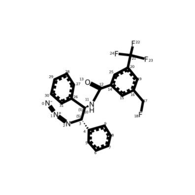 [N-]=[N+]=N[C@@H](c1ccccc1)[C@@H](NC(=O)c1cc(CF)cc(C(F)(F)F)c1)c1ccccc1